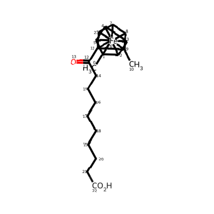 C[C]12[CH]3[CH]4[CH]5[CH]1[Fe]45321678[CH]2[CH]1[C]6(C)[C]7(C(=O)CCCCCCCCC(=O)O)[CH]28